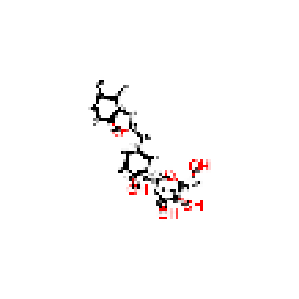 Cc1ccc2c(c1C)CC(Cc1ccc(O)c([C@H]3C[C@@H](O)[C@H](O)[C@@H](CO)O3)c1)O2